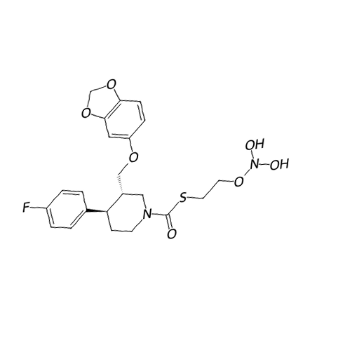 O=C(SCCON(O)O)N1CC[C@@H](c2ccc(F)cc2)[C@H](COc2ccc3c(c2)OCO3)C1